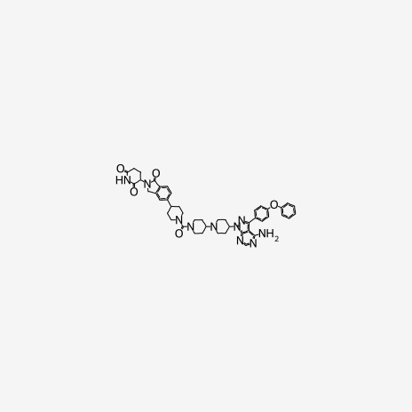 Nc1ncnc2c1c(-c1ccc(Oc3ccccc3)cc1)nn2C1CCN(C2CCN(C(=O)N3CCC(c4ccc5c(c4)CN(C4CCC(=O)NC4=O)C5=O)CC3)CC2)CC1